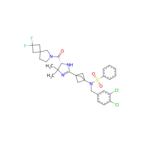 CC1(C)N=C(C23CC(N(Cc4ccc(Cl)c(Cl)c4)S(=O)(=O)c4ccccc4)(C2)C3)N[C@H]1C(=O)N1CCC2(C1)CC(F)(F)C2